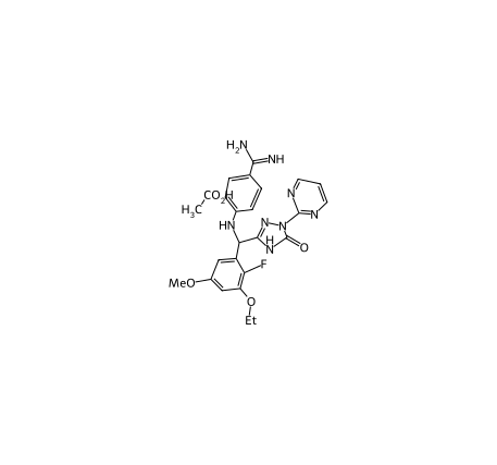 CC(=O)O.CCOc1cc(OC)cc(C(Nc2ccc(C(=N)N)cc2)c2nn(-c3ncccn3)c(=O)[nH]2)c1F